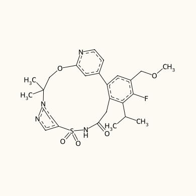 COCc1cc2c(c(C(C)C)c1F)CC(=O)NS(=O)(=O)c1cnn(c1)C(C)(C)COc1cc-2ccn1